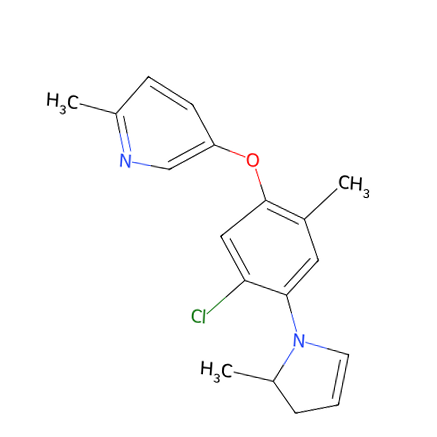 Cc1ccc(Oc2cc(Cl)c(N3C=CCC3C)cc2C)cn1